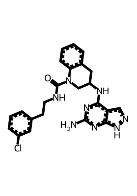 Nc1nc(NC2Cc3ccccc3N(C(=O)NCCc3cccc(Cl)c3)C2)c2cn[nH]c2n1